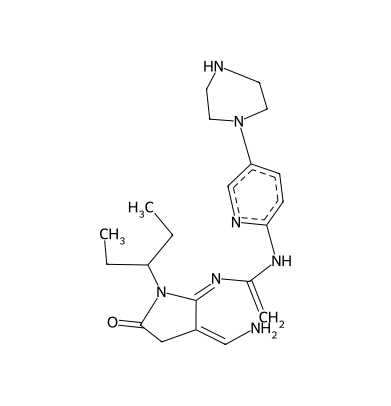 C=C(/N=C1\C(=C/N)CC(=O)N1C(CC)CC)Nc1ccc(N2CCNCC2)cn1